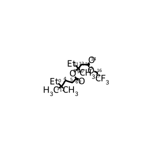 CCC(C)(C)CCC(=O)OC(C)(CC)CC(=O)OCC(F)(F)F